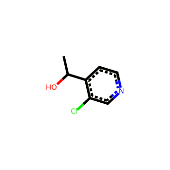 CC(O)c1ccncc1Cl